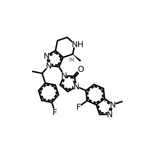 CC(c1ccc(F)cc1)n1nc2c(c1-n1ccn(-c3ccc4c(cnn4C)c3F)c1=O)[C@H](C)NCC2